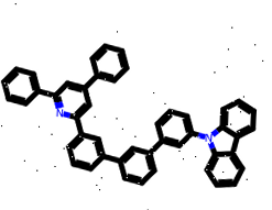 c1ccc(-c2cc(-c3ccccc3)nc(-c3cccc(-c4cccc(-c5cccc(-n6c7ccccc7c7ccccc76)c5)c4)c3)c2)cc1